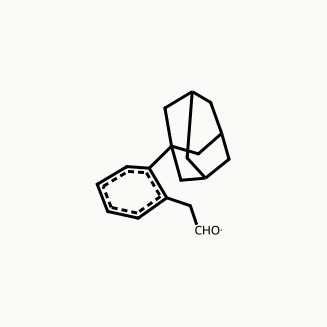 O=[C]Cc1ccccc1C12CC3CC(CC(C3)C1)C2